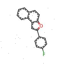 Fc1ccc(-c2cc3c(ccc4ccccc43)o2)cc1